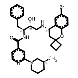 C[C@H]1CCCN(c2cc(C(=O)N[C@@H](Cc3ccccc3)[C@H](O)CN[C@H]3CC4(CCC4)Oc4ccc(Br)cc43)ccn2)C1